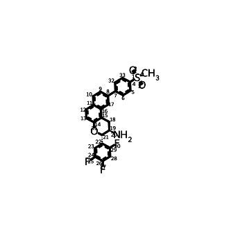 CS(=O)(=O)c1ccc(-c2ccc3ccc4c(c3c2)C[C@@H](N)[C@H](c2cc(F)c(F)cc2F)O4)cc1